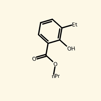 CCCOC(=O)c1cccc(CC)c1O